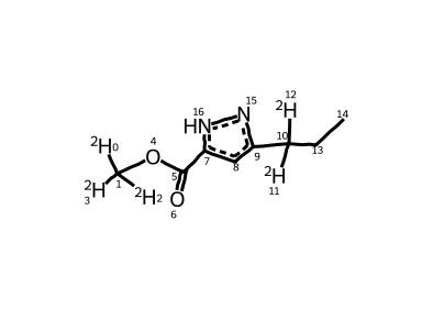 [2H]C([2H])([2H])OC(=O)c1cc(C([2H])([2H])CC)n[nH]1